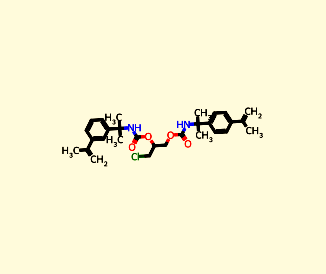 C=C(C)c1ccc(C(C)(C)NC(=O)OCC(CCl)OC(=O)NC(C)(C)c2cccc(C(=C)C)c2)cc1